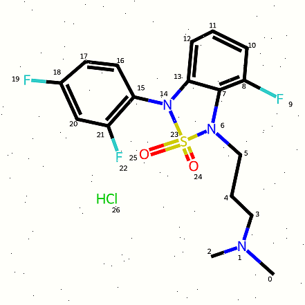 CN(C)CCCN1c2c(F)cccc2N(c2ccc(F)cc2F)S1(=O)=O.Cl